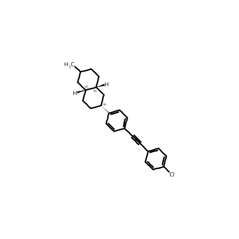 CC1CC[C@@H]2C[C@H](c3ccc(C#Cc4ccc(Cl)cc4)cc3)CC[C@@H]2C1